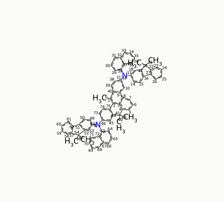 Cc1c2c3c(cccc3c3cc(N(c4ccc5c(c4)C(C)(C)c4ccccc4-5)c4cccc5ccccc45)ccc13)C(C)(C)c1cc(N(c3ccc4c(c3)C(C)(C)c3ccccc3-4)c3cccc4ccccc34)ccc1-2